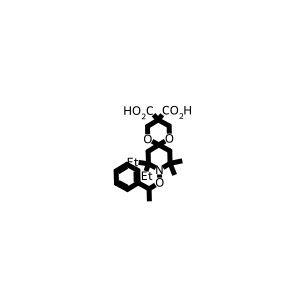 CCC1(CC)CC2(CC(C)(C)N1OC(C)c1ccccc1)OCC(C(=O)O)(C(=O)O)CO2